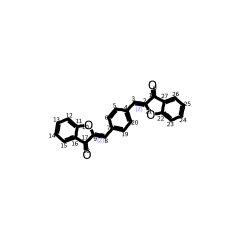 O=C1/C(=C/c2ccc(/C=C3\Oc4ccccc4C3=O)cc2)Oc2ccccc21